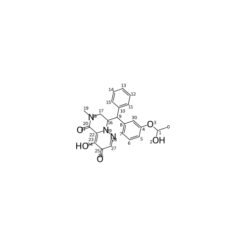 CC(O)Oc1cccc(C(c2ccccc2)C2CN(C)C(=O)c3c(O)c(=O)cnn32)c1